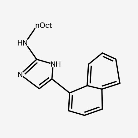 CCCCCCCCNc1ncc(-c2cccc3ccccc23)[nH]1